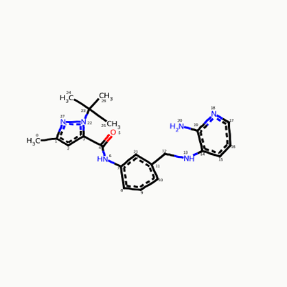 Cc1cc(C(=O)Nc2cccc(CNc3cccnc3N)c2)n(C(C)(C)C)n1